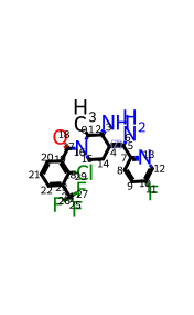 CC1C(=N)/C(=C(\N)c2ccc(F)cn2)CCN1C(=O)c1cccc(C(F)(F)F)c1Cl